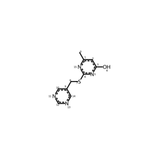 Cc1cc(O)nc(SCc2cncnc2)n1